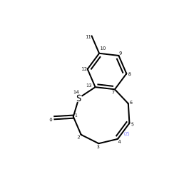 C=C1CC/C=C\Cc2ccc(C)cc2S1